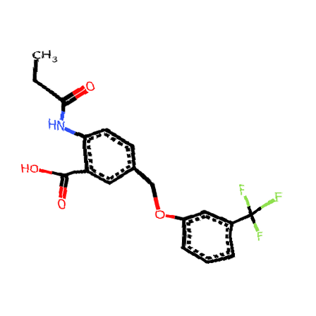 CCC(=O)Nc1ccc(COc2cccc(C(F)(F)F)c2)cc1C(=O)O